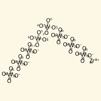 [O]=[W](=[O])([O-])[O-].[O]=[W](=[O])([O-])[O-].[O]=[W](=[O])([O-])[O-].[O]=[W](=[O])([O-])[O-].[O]=[W](=[O])([O-])[O-].[O]=[W](=[O])([O-])[O-].[O]=[W](=[O])([O-])[O-].[O]=[W](=[O])([O-])[O-].[Zr+4]